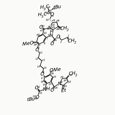 C=CCOC(=O)Nc1cc(OCCCCCOc2cc(NC(=O)OC(C)(C)C)c(C(=O)N3CC(=C)C[C@H]3CC)cc2OC)c(OC)cc1C(=O)N1CC(=C)C[C@H]1CO[Si](C)(C)C(C)(C)C